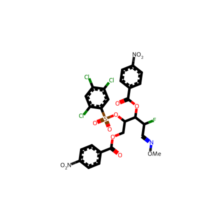 CON=CC(F)C(OC(=O)c1ccc([N+](=O)[O-])cc1)C(COC(=O)c1ccc([N+](=O)[O-])cc1)OS(=O)(=O)c1cc(Cl)c(Cl)cc1Cl